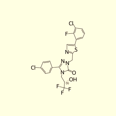 O=c1n(Cc2ncc(-c3cccc(Cl)c3F)s2)nc(-c2ccc(Cl)cc2)n1C[C@H](O)C(F)(F)F